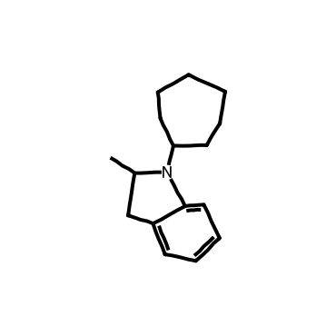 CC1Cc2ccccc2N1C1CCCCCC1